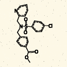 COC(=O)c1ccc(CN(Cc2ccccn2)S(=O)(=O)c2ccc(Cl)cc2)cc1